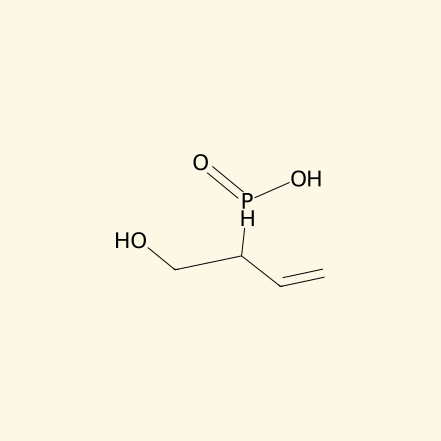 C=CC(CO)[PH](=O)O